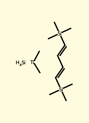 C[Si](C)(C)C=CC=C[Si](C)(C)C.[CH3][Ti][CH3].[SiH4]